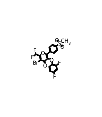 CS(=O)(=O)c1ccc(-c2oc(C(F)F)c(Br)c(=O)c2Oc2ccc(F)cc2F)cc1